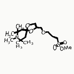 COS(=O)(=O)CCCOCC1COC2(CC(C)(C)N(C)C(C)(C)C2)O1